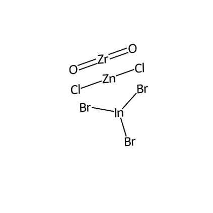 [Br][In]([Br])[Br].[Cl][Zn][Cl].[O]=[Zr]=[O]